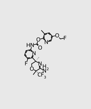 Cc1cc(OCF)cnc1OC(=O)Nc1ccc(F)c([C@]2(C)CO[C@@](C)(C(F)(F)F)C(N)=N2)n1